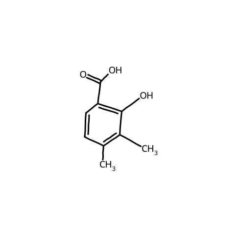 Cc1ccc(C(=O)O)c(O)c1C